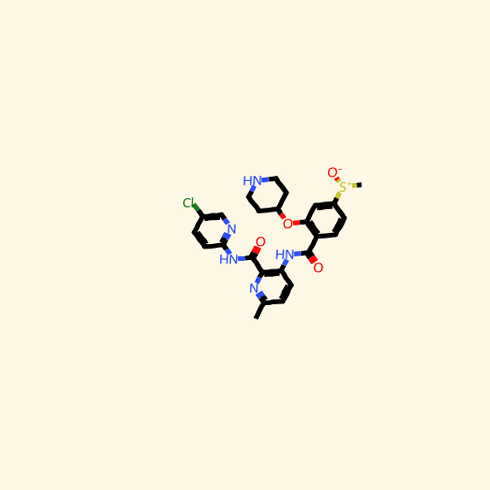 Cc1ccc(NC(=O)c2ccc([S+](C)[O-])cc2OC2CCNCC2)c(C(=O)Nc2ccc(Cl)cn2)n1